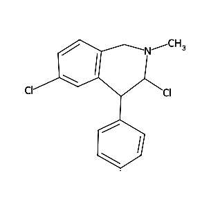 CN1Cc2ccc(Cl)cc2C(c2cc[c]cc2)C1Cl